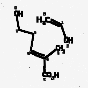 C=CO.CC(=CCCO)C(=O)O